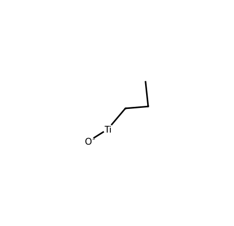 CC[CH2][Ti][O-]